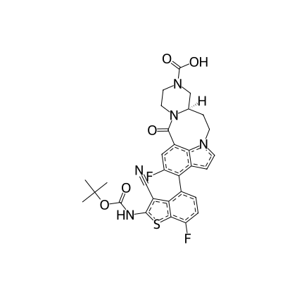 CC(C)(C)OC(=O)Nc1sc2c(F)ccc(-c3c(F)cc4c5c3ccn5CC[C@@H]3CN(C(=O)O)CCN3C4=O)c2c1C#N